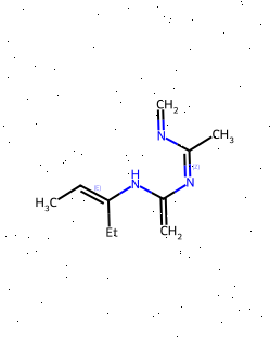 C=N/C(C)=N\C(=C)N/C(=C/C)CC